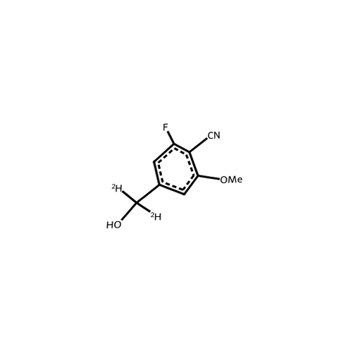 [2H]C([2H])(O)c1cc(F)c(C#N)c(OC)c1